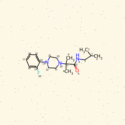 CC(C)CNC(=O)C(C)(C)N1CCN(c2ccccc2F)CC1